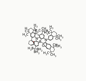 BC(B)(B)c1c#cc2c(c1)B1c3oc4cc5c(cc4c3N(c3ccc4c(c3)C(C)(C)CCC4(C)C)c3cc(C(C)(C)C)cc(c31)N2c1cc2c(cc1C1=CC=CCC1)C(C)(C)CCC2(C)C)C(C)(C)CCC5(C)C